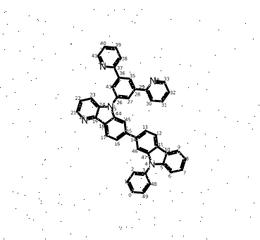 c1ccc(-n2c3ccccc3c3ccc(-c4ccc5c6ncccc6n(-c6cc(-c7ccccn7)cc(-c7ccccn7)c6)c5c4)cc32)cc1